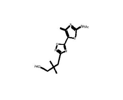 CC(=O)Nc1nc(C)c(-c2nc(CC(C)(C)CO)no2)s1